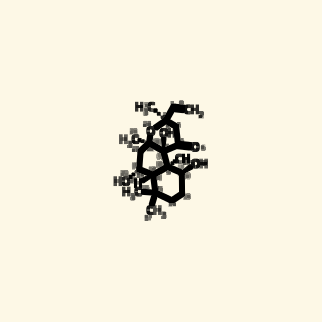 C=C[C@@]1(C)CC(=O)[C@]2(O)[C@@]3(C)[C@@H](O)CCC(C)(C)[C@@H]3[C@H](O)C[C@@]2(C)O1